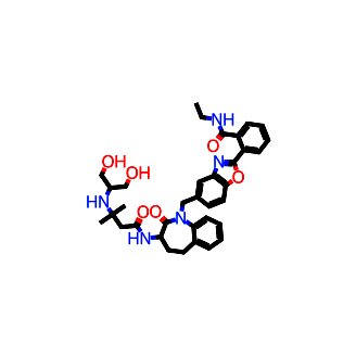 CCNC(=O)c1ccccc1-c1nc2cc(CN3C(=O)C(NC(=O)CC(C)(C)NC(CO)CO)CCc4ccccc43)ccc2o1